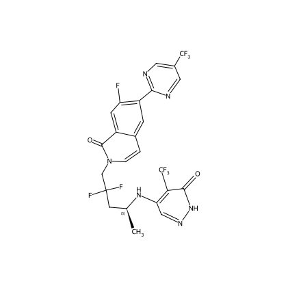 C[C@@H](CC(F)(F)Cn1ccc2cc(-c3ncc(C(F)(F)F)cn3)c(F)cc2c1=O)Nc1cn[nH]c(=O)c1C(F)(F)F